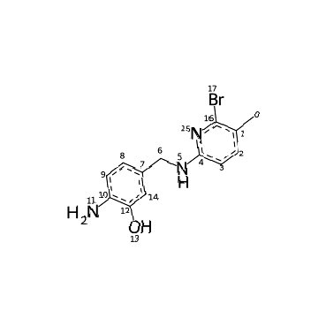 Cc1ccc(NCc2ccc(N)c(O)c2)nc1Br